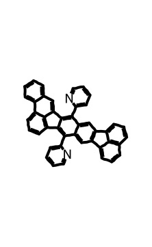 c1ccc(-c2c3cc4c(cc3c(-c3ccccn3)c3c5cc6ccccc6c6cccc(c23)c65)c2cccc3cccc4c32)nc1